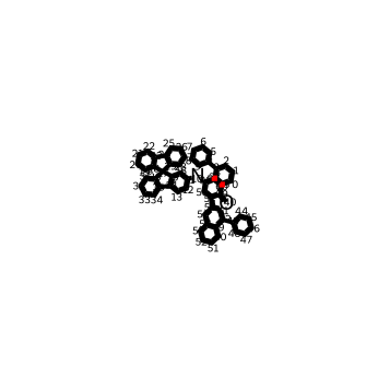 c1ccc(-c2ccccc2N(c2ccc3c(c2)C2(c4ccccc4-c4ccccc42)c2ccccc2-3)c2ccc3oc4c(-c5ccccc5)c5ccccc5cc4c3c2)cc1